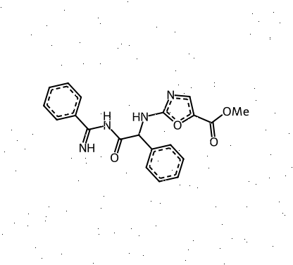 COC(=O)c1cnc(NC(C(=O)NC(=N)c2ccccc2)c2ccccc2)o1